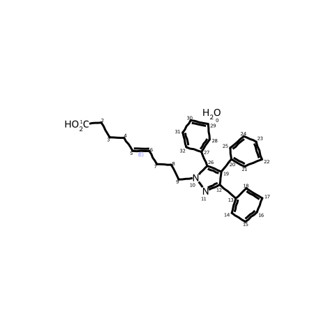 O.O=C(O)CCC/C=C/CCCn1nc(-c2ccccc2)c(-c2ccccc2)c1-c1ccccc1